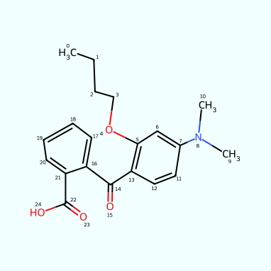 CCCCOc1cc(N(C)C)ccc1C(=O)c1ccccc1C(=O)O